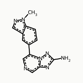 Cn1ncc2cc(-c3cncc4nc(N)nn34)ccc21